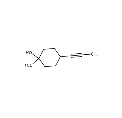 CC#CC1CCC(C)(O)CC1